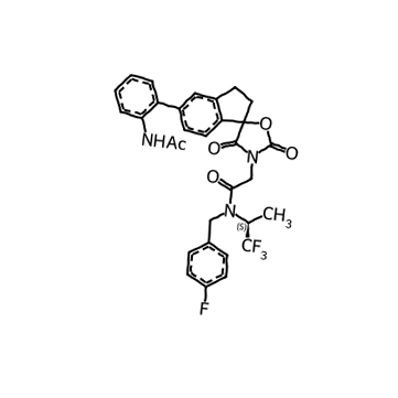 CC(=O)Nc1ccccc1-c1ccc2c(c1)CCC21OC(=O)N(CC(=O)N(Cc2ccc(F)cc2)[C@@H](C)C(F)(F)F)C1=O